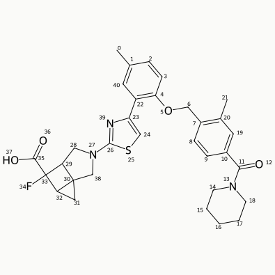 Cc1ccc(OCc2ccc(C(=O)N3CCCCC3)cc2C)c(-c2csc(N3CC4C5(CC5C4(F)C(=O)O)C3)n2)c1